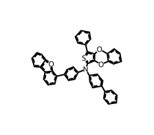 c1ccc(-c2ccc(N(c3ccc(-c4cccc5c4oc4ccccc45)cc3)c3sc(-c4ccccc4)c4c3Oc3ccccc3O4)cc2)cc1